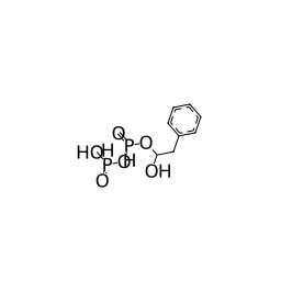 O=[PH](O)O[PH](=O)OC(O)Cc1ccccc1